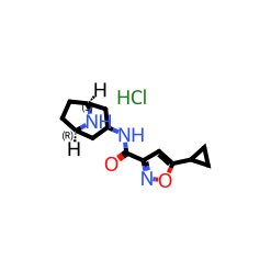 Cl.O=C(NC1C[C@H]2CC[C@@H](C1)N2)c1cc(C2CC2)on1